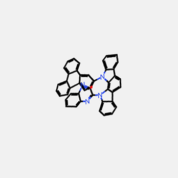 c1ccc2nc(-n3c4ccccc4c4ccc5c6ccccc6n(-c6ccc7c8ccccc8c8ccccc8c7c6)c5c43)cnc2c1